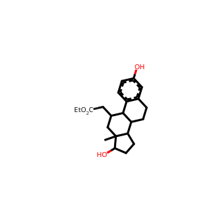 CCOC(=O)CC1CC2(C)C(O)CCC2C2CCc3cc(O)ccc3C12